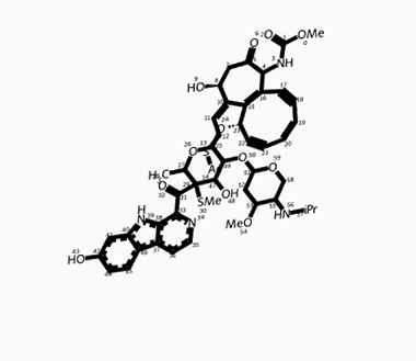 COC(=O)NC1C(=O)C[C@H](O)/C(=C/CSC(C)=O)C2=C1C#C/C=C\C#C[C@@H]2OC1OC(C)C(SC)(C(=O)c2nccc3c2[nH]c2cc(O)ccc23)C(O)C1OC1CC(OC)C(NC(C)C)CO1